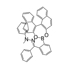 CN(N=C(c1ccccc1)c1ccccc1B1Oc2ccc3ccccc3c2-c2c(ccc3ccccc23)O1)c1ccccc1